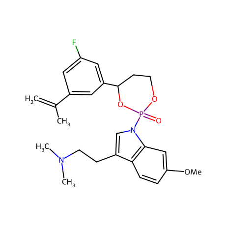 C=C(C)c1cc(F)cc(C2CCOP(=O)(n3cc(CCN(C)C)c4ccc(OC)cc43)O2)c1